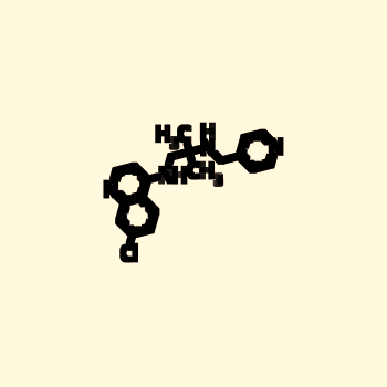 CC(C)(CNc1ccnc2cc(Cl)ccc12)NCc1ccncc1